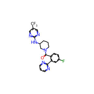 O=C(c1ccc(F)cc1-c1ncccn1)N1CCCC(Nc2ncc(C(F)(F)F)cn2)C1